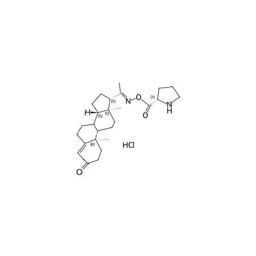 CC(=NOC(=O)[C@@H]1CCCN1)[C@H]1CC[C@H]2C3CCC4=CC(=O)CC[C@]4(C)C3CC[C@]12C.Cl